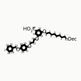 CCCCCCCCCCCCCCCCCCOc1cc(OCCCOc2ccc(OCc3ccccc3)cc2)cc(C(=O)O)c1